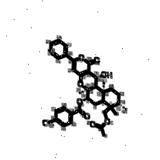 CC(=O)OCC1(C)C2C[C@H](OC(=O)c3ccc(Cl)cc3)[C@@]3(C)Oc4cc(-c5cccnc5)oc(=O)c4[C@H](O)C3[C@@]2(C)CC[C@@H]1C